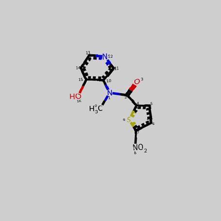 CN(C(=O)c1ccc([N+](=O)[O-])s1)c1cnccc1O